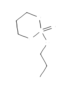 CCCOP1(=O)OCCCO1